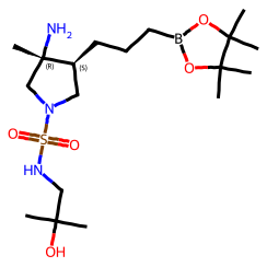 CC(C)(O)CNS(=O)(=O)N1C[C@H](CCCB2OC(C)(C)C(C)(C)O2)[C@@](C)(N)C1